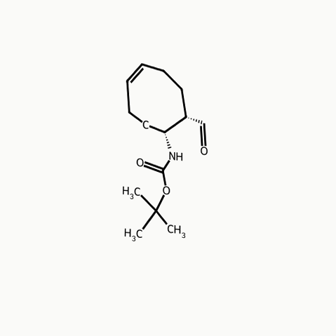 CC(C)(C)OC(=O)N[C@@H]1CC/C=C\CC[C@@H]1C=O